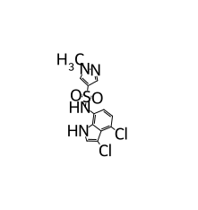 Cn1cc(S(=O)(=O)Nc2ccc(Cl)c3c(Cl)c[nH]c23)cn1